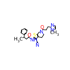 CC(CC(=O)Nc1sc2c(c1C#N)CCN(C(=O)CCc1nccn1C)C2)c1ccccc1